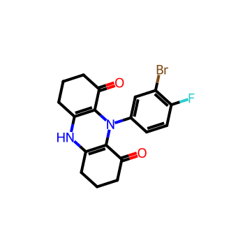 O=C1CCCC2=C1N(c1ccc(F)c(Br)c1)C1=C(CCCC1=O)N2